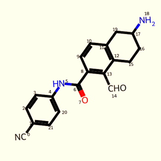 N#Cc1ccc(NC(=O)c2ccc3c(c2C=O)CCC(N)C3)cc1